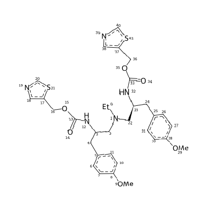 CCN(CC(Cc1ccc(OC)cc1)NC(=O)OCc1cncs1)C[C@H](Cc1ccc(OC)cc1)NC(=O)OCc1cncs1